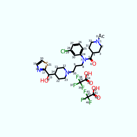 CC(=O)N1CCC(C(=O)N(CCCN2CCC(C(O)c3nccs3)CC2)c2cccc(Cl)c2)CC1.O=C(O)C(F)(F)F.O=C(O)C(F)(F)F